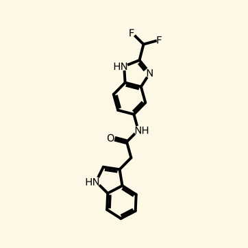 O=C(Cc1c[nH]c2ccccc12)Nc1ccc2[nH]c(C(F)F)nc2c1